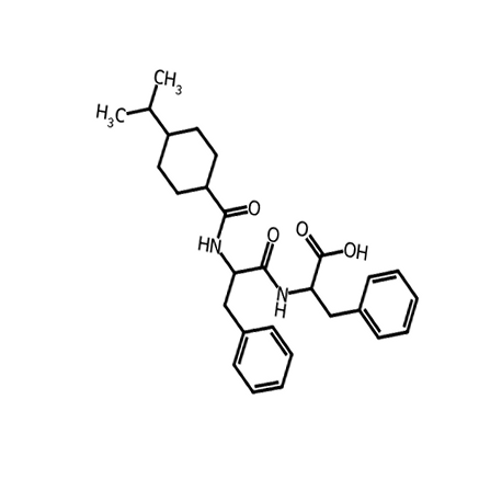 CC(C)C1CCC(C(=O)NC(Cc2ccccc2)C(=O)NC(Cc2ccccc2)C(=O)O)CC1